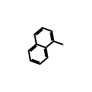 Ic1cc[c]c2ccccc12